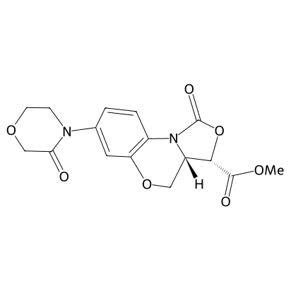 COC(=O)[C@H]1OC(=O)N2c3ccc(N4CCOCC4=O)cc3OC[C@@H]12